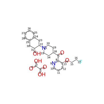 O=C(O)C(=O)O.O=C(c1ncccc1OCCF)C1CCN(C2Cc3ccccc3CC2O)CC1